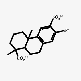 CC(C)c1cc2c(cc1S(=O)(=O)O)C1(C)CCCC(C)(C(=O)O)C1CC2